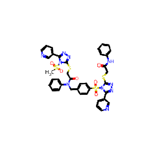 CS(=O)(=O)n1c(SCC(=O)N(Cc2ccc(S(=O)(=O)n3c(SCC(=O)Nc4ccccc4)nnc3-c3cccnc3)cc2)c2ccccc2)nnc1-c1cccnc1